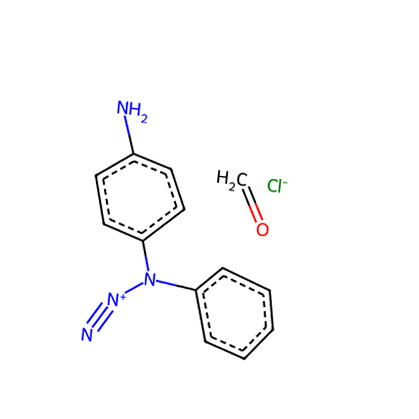 C=O.N#[N+]N(c1ccccc1)c1ccc(N)cc1.[Cl-]